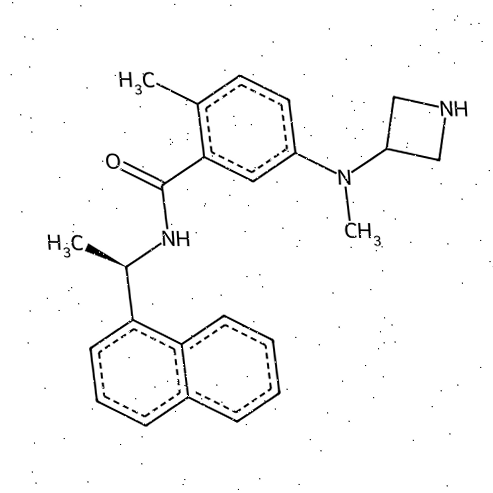 Cc1ccc(N(C)C2CNC2)cc1C(=O)N[C@H](C)c1cccc2ccccc12